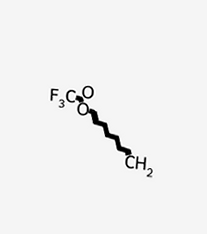 C=CCCCC/C=C/OC(=O)C(F)(F)F